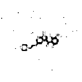 Nc1ccc(F)c(C(=O)c2c[nH]c3ncc(CCCN4CCOCC4)cc23)c1F